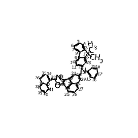 CC1(C)c2ccccc2-c2ccc(N(c3ccccc3)c3cc4c5c(cccc5c3)-c3oc(-c5cccc6ccccc56)nc3-4)cc21